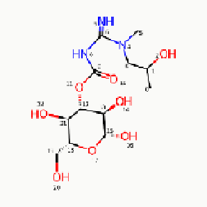 CC(O)CN(C)C(=N)NC(=O)O[C@@H]1[C@@H](O)[C@H](O)O[C@H](CO)[C@H]1O